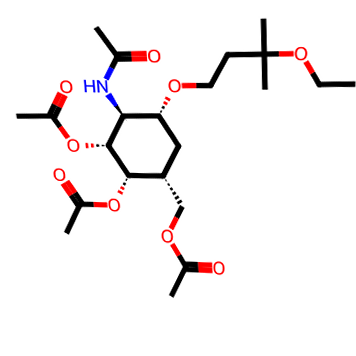 CCOC(C)(C)CCO[C@@H]1C[C@H](COC(C)=O)[C@H](OC(C)=O)[C@H](OC(C)=O)[C@H]1NC(C)=O